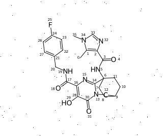 Cc1c(C(=O)NC23CCC(CC2)Cn2c3nc(C(=O)NCc3ccc(F)cc3)c(O)c2=O)ncn1C